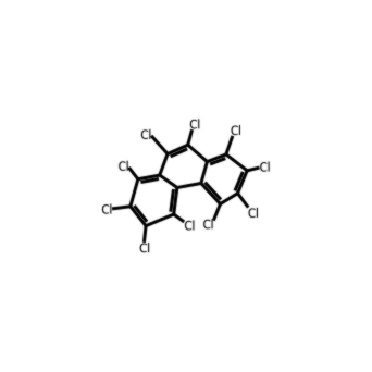 Clc1c(Cl)c(Cl)c2c(c1Cl)c(Cl)c(Cl)c1c(Cl)c(Cl)c(Cl)c(Cl)c12